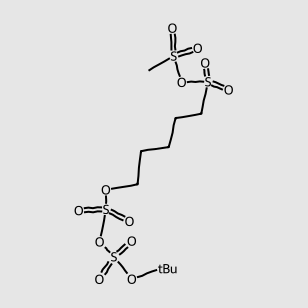 CC(C)(C)OS(=O)(=O)OS(=O)(=O)OCCCCCS(=O)(=O)OS(C)(=O)=O